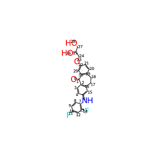 O=C1c2ccc(Nc3ccc(F)cc3F)cc2CCc2ccc(OC[C@@H](O)CO)cc21